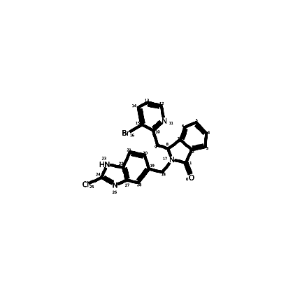 O=C1c2ccccc2C(Cc2ncccc2Br)N1Cc1ccc2[nH]c(Cl)nc2c1